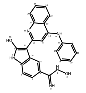 N=C(NO)c1ccc2[nH]c(O)c(-c3cc(Nc4ccccc4)c4ccccc4n3)c2c1